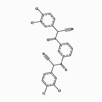 N#CC(C(=O)c1cccc(C(=O)C(C#N)c2ccc(Cl)c(Cl)c2)c1)c1ccc(Cl)c(Cl)c1